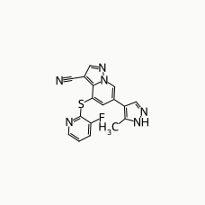 Cc1[nH]ncc1-c1cc(Sc2ncccc2F)c2c(C#N)cnn2c1